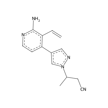 C=Cc1c(-c2cnn(C(C)CC#N)c2)ccnc1N